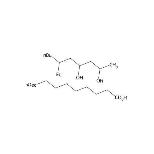 CCCCC(CC)CC(O)CC(C)O.CCCCCCCCCCCCCCCCCC(=O)O